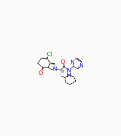 O=C1CC=C(Cl)C2=CN([C@@H](CC3CCCCC3)C(=O)Nc3cnccn3)CC12